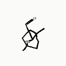 CC12CCC(C)(CC1)C([C]=O)N2